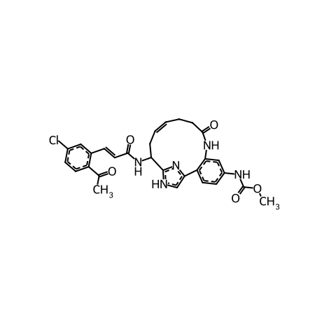 COC(=O)Nc1ccc2c(c1)NC(=O)CCC=CCC(NC(=O)C=Cc1cc(Cl)ccc1C(C)=O)c1nc-2c[nH]1